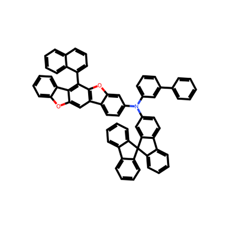 c1ccc(-c2cccc(N(c3ccc4c(c3)C3(c5ccccc5-c5ccccc53)c3ccccc3-4)c3ccc4c(c3)oc3c(-c5cccc6ccccc56)c5c(cc34)oc3ccccc35)c2)cc1